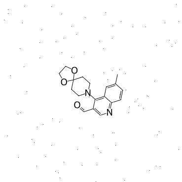 Cc1ccc2ncc(C=O)c(N3CCC4(CC3)OCCO4)c2c1